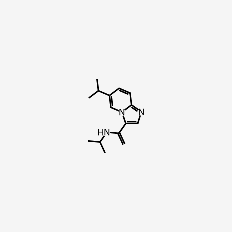 C=C(NC(C)C)c1cnc2ccc(C(C)C)cn12